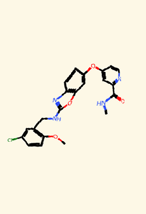 CNC(=O)c1cc(Oc2ccc3nc(NCc4cc(Cl)ccc4OC)oc3c2)ccn1